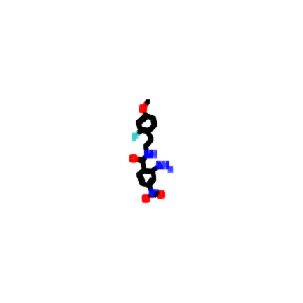 COc1ccc(CCNC(=O)c2ccc([N+](=O)[O-])cc2N)c(F)c1